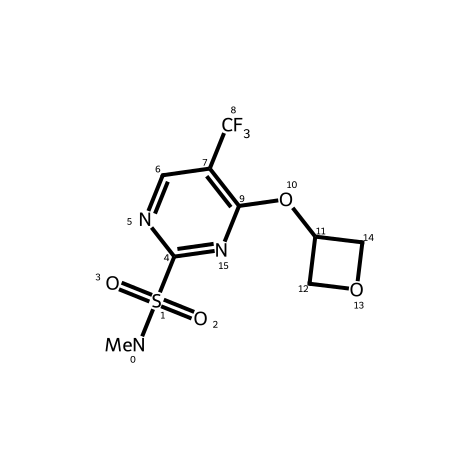 CNS(=O)(=O)c1ncc(C(F)(F)F)c(OC2COC2)n1